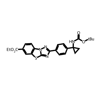 CCOC(=O)c1ccc2c(c1)sc1nc(-c3ccc(C4(NC(=O)OC(C)(C)C)CC4)cc3)nn12